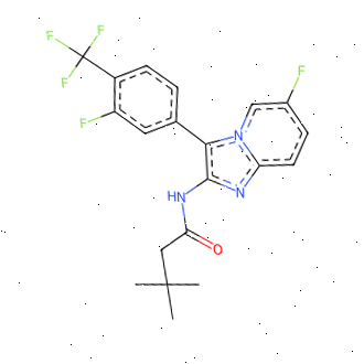 CC(C)(C)CC(=O)Nc1nc2ccc(F)cn2c1-c1ccc(C(F)(F)F)c(F)c1